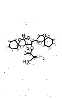 C=C(C)C(=O)O[C@@H]1[C@H]2OC3(CCCCC3)O[C@H]2O[C@@H]1[C@H]1COC2(CCCCC2)O1